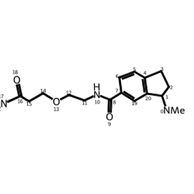 CNC1CCc2ccc(C(=O)NCCOCCC(N)=O)cc21